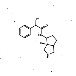 CC(C)C(C(=O)NC1CCC2CNC[C@@H]21)c1ccccc1